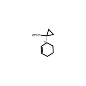 CCCCCC1([C@H]2C=CCCC2)CC1